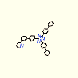 c1ccc(-c2ccc(-c3nc(-c4ccc(-c5ccccc5)cc4)nc(-c4ccc(-c5cccc(-c6ccccn6)c5)cc4)n3)cc2)cc1